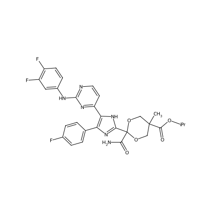 CC(C)OC(=O)C1(C)COC(C(N)=O)(c2nc(-c3ccc(F)cc3)c(-c3ccnc(Nc4ccc(F)c(F)c4)n3)[nH]2)OC1